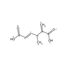 C=C(C(=O)O)C(C)C=CC(=O)O